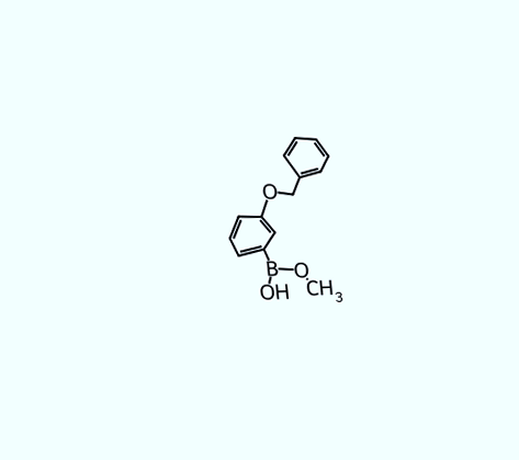 COB(O)c1cccc(OCc2ccccc2)c1